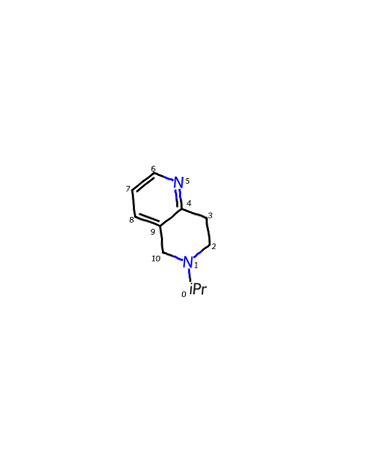 CC(C)N1CCc2ncccc2C1